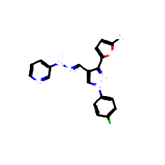 O=[N+]([O-])c1ccc(-c2nn(-c3ccc(Cl)cc3)cc2/C=N/Nc2cccnc2)o1